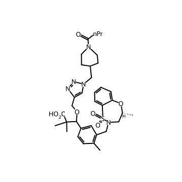 CCCC(=O)N1CCC(Cn2cc(COC(c3ccc(C)c(CN4C[C@@H](C)Oc5ccccc5S4(=O)=O)c3)C(C)(C)C(=O)O)nn2)CC1